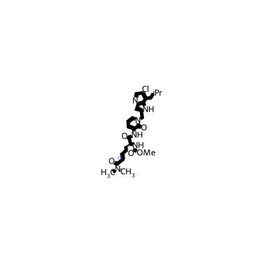 COC(=O)N[C@@H](CC/C=C/C(=O)N(C)C)C(=O)Nc1cccn(Cc2cc3ncc(Cl)c(CC(C)C)c3[nH]2)c1=O